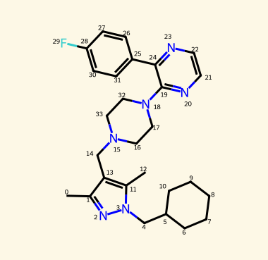 Cc1nn(CC2CCCCC2)c(C)c1CN1CCN(c2nccnc2-c2ccc(F)cc2)CC1